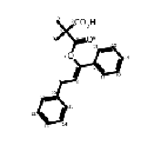 CC(C)(C(=O)O)C(=O)OC(=CCc1ccccc1)c1ccccc1